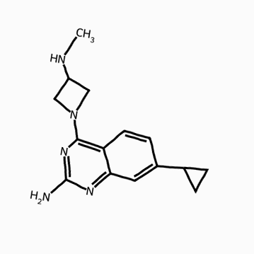 CNC1CN(c2nc(N)nc3cc(C4CC4)ccc23)C1